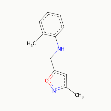 Cc1cc(CNc2ccccc2C)on1